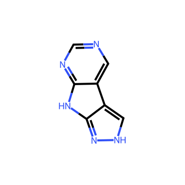 c1ncc2c(n1)[nH]c1n[nH]cc12